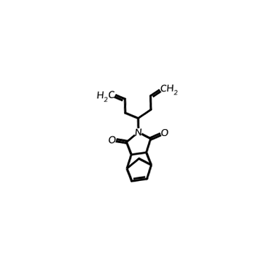 C=CCC(CC=C)N1C(=O)C2C3C=CC(C3)C2C1=O